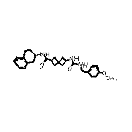 COc1ccc(CNC(=O)NC2CC3(C2)CC(C(=O)N[C@@H]2CCc4ccccc4C2)C3)cc1